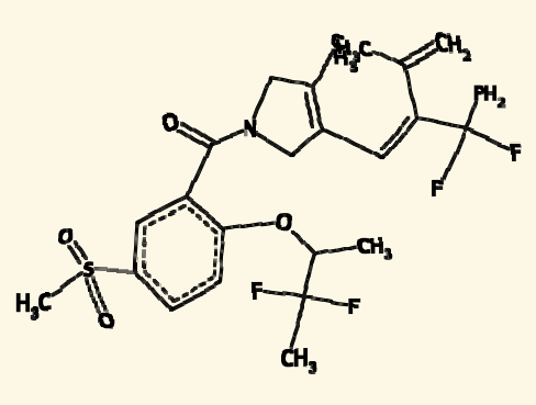 C=C(C)/C(=C\C1=C(C)CN(C(=O)c2cc(S(C)(=O)=O)ccc2OC(C)C(C)(F)F)C1)C(F)(F)P